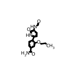 CCCOc1cc(C(N)=O)ccc1-c1ccc(NC=O)c(=O)[nH]1